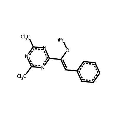 CC(C)OC(=Cc1ccccc1)c1nc(C(Cl)(Cl)Cl)nc(C(Cl)(Cl)Cl)n1